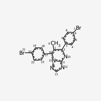 Cc1c(-c2ccc(Br)cc2)nc2ncnn2c1-c1ccc(Br)cc1